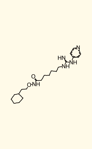 N=C(NCCCCCCC(=O)NOCCC1CCCCC1)Nc1ccncc1